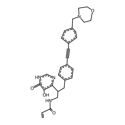 C=CC(=O)NCC(Cc1ccc(C#Cc2ccc(CN3CCOCC3)cc2)cc1)c1nc[nH]c(=O)c1O